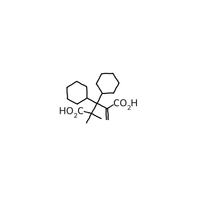 C=C(C(=O)O)C(C1CCCCC1)(C1CCCCC1)C(C)(C)C(=O)O